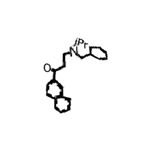 CC(C)N(CCC(=O)c1ccc2ccccc2c1)CC1C=CC=CC1